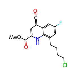 COC(=O)C1=CC(=C=O)c2cc(F)cc(CCCCCl)c2N1